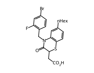 CCCCCCc1ccc2c(c1)N(Cc1ccc(Br)cc1F)C(=O)C(CC(=O)O)S2